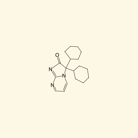 O=C1N=C2N=CC=CN2C1(C1CCCCC1)C1CCCCC1